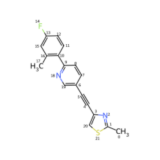 Cc1nc(C#Cc2ccc(-c3ccc(F)cc3C)nc2)cs1